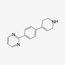 C1=C(c2ccc(-c3ncccn3)cc2)CCNC1